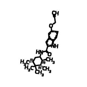 C#CCOc1ccc2[nH]c(C(=O)NC3C[C@@H](C)C(C)(C)[C@@H](C)[C@@H]3C)cc2c1